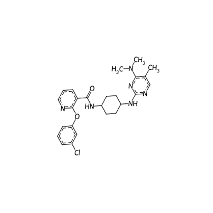 Cc1cnc(NC2CCC(NC(=O)c3cccnc3Oc3cccc(Cl)c3)CC2)nc1N(C)C